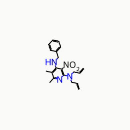 C=CCN(CC=C)c1nc(C)c(C)c(NCc2ccccc2)c1[N+](=O)[O-]